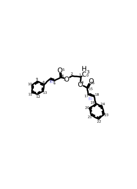 CC(COC(=O)/C=C/c1ccccc1)OC(=O)/C=C/c1ccccc1